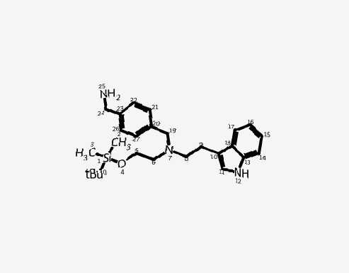 CC(C)(C)[Si](C)(C)OCCN(CCc1c[nH]c2ccccc12)Cc1ccc(CN)cc1